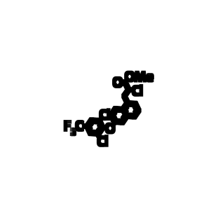 COC(=O)C(Cl)Cc1cccc2cc(Oc3c(Cl)cc(C(F)(F)F)cc3Cl)ccc12